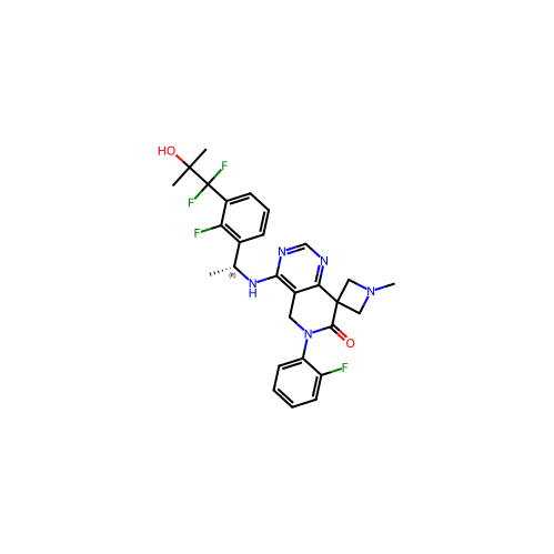 C[C@@H](Nc1ncnc2c1CN(c1ccccc1F)C(=O)C21CN(C)C1)c1cccc(C(F)(F)C(C)(C)O)c1F